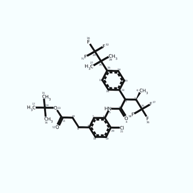 C[C@H](C(C(=O)Nc1cc(CCC(=O)OC(C)(C)C)ccc1Cl)c1ccc(C(C)(C)C(F)(F)F)cc1)C(F)(F)F